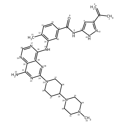 C=C(C)c1cc(NC(=O)c2ccc(C)c(Nc3ncnc4c(N)nc(N5CCC(N6CCN(C)CC6)CC5)nc34)c2)[nH]n1